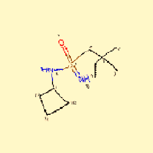 CC(C)(C)CS(=N)(=O)NC1CCC1